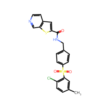 Cc1ccc(Cl)c(S(=O)(=O)c2ccc(CNC(=O)c3cc4ccncc4s3)cc2)c1